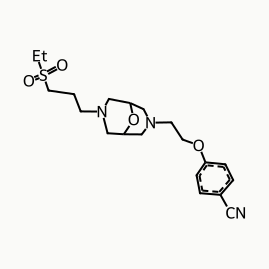 CCS(=O)(=O)CCCN1CC2CN(CCOc3ccc(C#N)cc3)CC(C1)O2